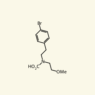 COCCN(CCc1ccc(Br)cc1)C(=O)O